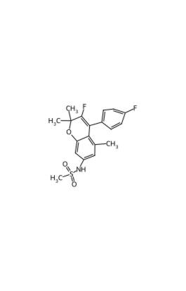 Cc1cc(NS(C)(=O)=O)cc2c1C(c1ccc(F)cc1)=C(F)C(C)(C)O2